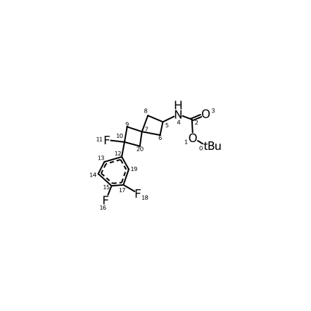 CC(C)(C)OC(=O)NC1CC2(C1)CC(F)(c1ccc(F)c(F)c1)C2